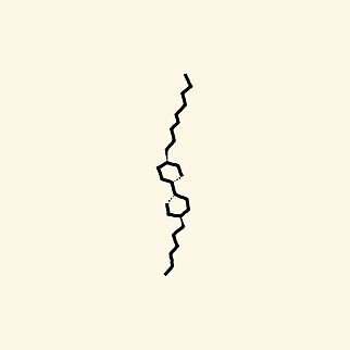 CCCCCCCCC[C@H]1CC[C@H]([C@H]2CC[C@H](CCCCCC)CC2)CC1